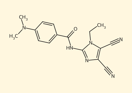 CCn1c(NC(=O)c2ccc(N(C)C)cc2)nc(C#N)c1C#N